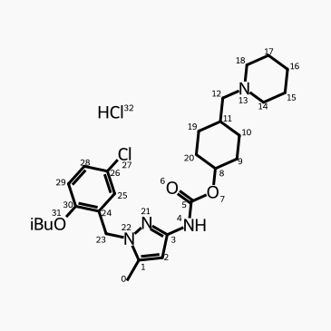 Cc1cc(NC(=O)OC2CCC(CN3CCCCC3)CC2)nn1Cc1cc(Cl)ccc1OCC(C)C.Cl